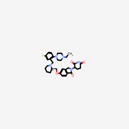 CCN1CCN(c2ccc(F)cc2CN2CCCC[C@@H]2COc2ccc3c(c2)CN(C2CCC(=O)NC2=O)C3=O)CC1